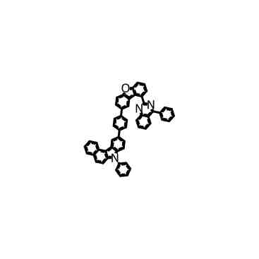 c1ccc(-c2nc(-c3cccc4oc5ccc(-c6ccc(-c7ccc8c(c7)c7c9ccccc9ccc7n8-c7ccccc7)cc6)cc5c34)nc3ccccc23)cc1